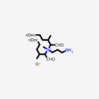 CCCCCCCCCCCCC(C)C(C=O)[N+](C)(CCCN)C(C=O)C(C)CCCCCCCCCCCC.[Br-]